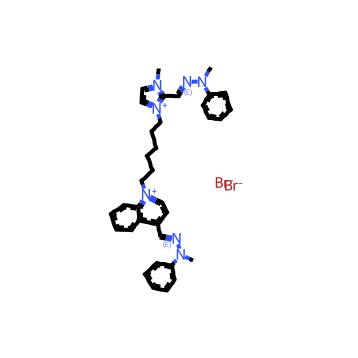 CN(/N=C/c1cc[n+](CCCCCC[n+]2ccn(C)c2/C=N/N(C)c2ccccc2)c2ccccc12)c1ccccc1.[Br-].[Br-]